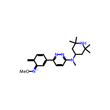 C=C1C=CC(c2ccc(N(C)C3CC(C)(C)NC(C)(C)C3)nn2)=C/C1=N/OC